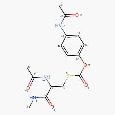 CNC(=O)C(CSC(=O)Oc1ccc(NC(C)=O)cc1)NC(C)=O